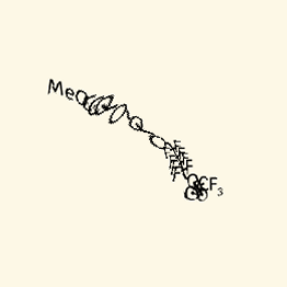 COCCOCCOCCOCCOCC(F)(F)C(F)(F)C(F)(F)C(F)(F)COS(=O)(=O)C(F)(F)F